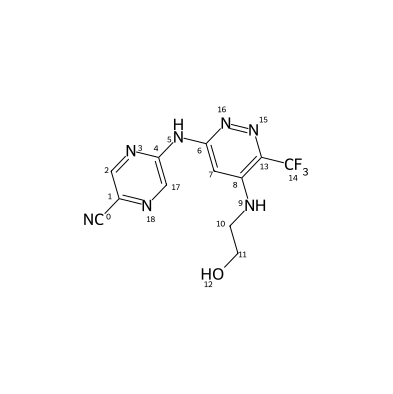 N#Cc1cnc(Nc2cc(NCCO)c(C(F)(F)F)nn2)cn1